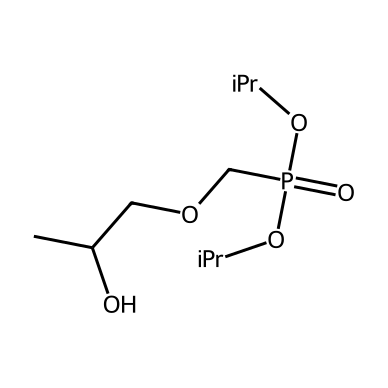 CC(O)COCP(=O)(OC(C)C)OC(C)C